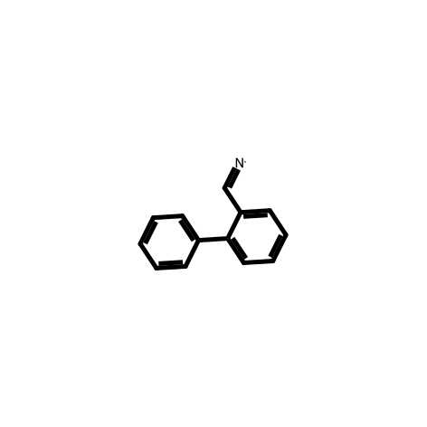 [N]=Cc1ccccc1-c1ccccc1